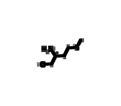 CSCCC(N)C[O]